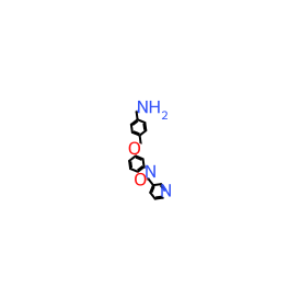 NCc1ccc(COc2ccc3oc(-c4cccnc4)nc3c2)cc1